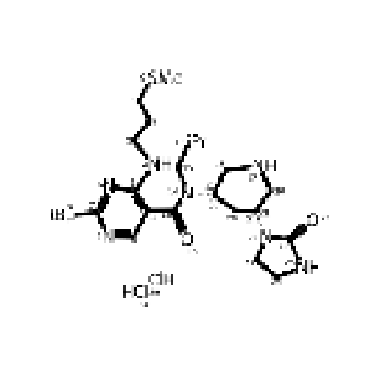 CSCCCNc1nc(C(C)(C)C)ncc1C(=O)N(CC(C)C)[C@@H]1CNC[C@H](N2CCNC2=O)C1.Cl.Cl